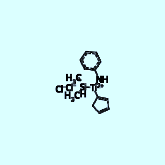 C[SiH](C)[Ti+2]([NH]c1ccccc1)[C]1=CC=CC1.[Cl-].[Cl-]